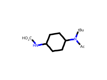 CC(=O)N(C1CCC(NC(=O)O)CC1)C(C)(C)C